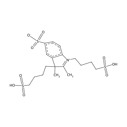 CC1=[N+](CCCCS(=O)(=O)O)c2ccc(S(=O)(=O)[O-])cc2C1(C)CCCCS(=O)(=O)O